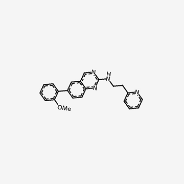 COc1ccccc1-c1ccc2nc(NCCc3ccccn3)ncc2c1